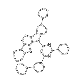 c1ccc(-c2cccc(-c3nc(-c4ccccc4)nc(-n4c5ccc(-c6ccccc6)cc5c5ccc6c7ccccc7sc6c54)n3)c2)cc1